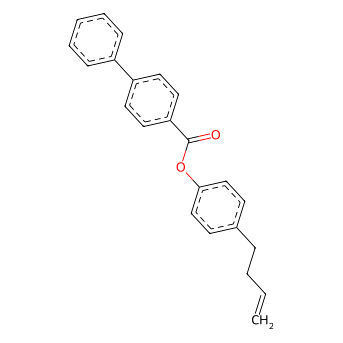 C=CCCc1ccc(OC(=O)c2ccc(-c3ccccc3)cc2)cc1